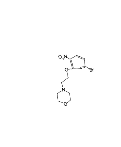 O=[N+]([O-])c1ccc(Br)cc1OCCN1CCOCC1